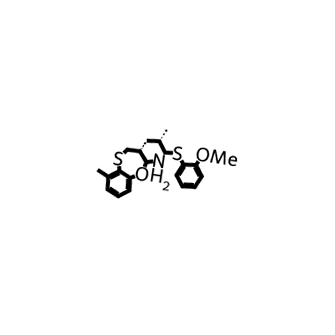 COc1ccccc1SC[C@@H](C)C[C@H]1CSc2c(C)cccc2OC1N